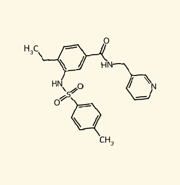 CCc1ccc(C(=O)NCc2cccnc2)cc1NS(=O)(=O)c1ccc(C)cc1